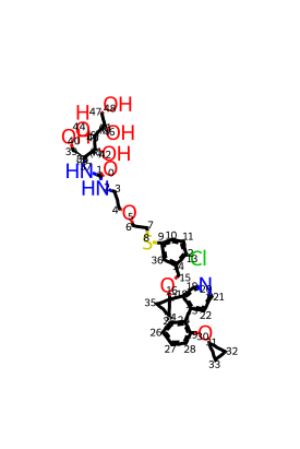 O=C(NCCOCCSc1ccc(Cl)c(COC2(c3cnccc3-c3ccccc3OC3CC3)CC2)c1)N[C@@H](CO)[C@@H](O)[C@H](O)[C@H](O)CO